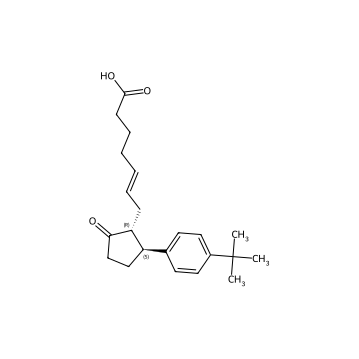 CC(C)(C)c1ccc([C@H]2CCC(=O)[C@@H]2CC=CCCCC(=O)O)cc1